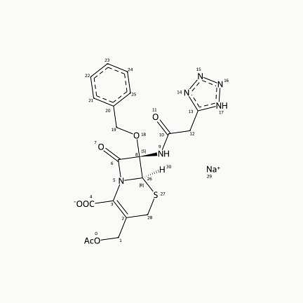 CC(=O)OCC1=C(C(=O)[O-])N2C(=O)[C@](NC(=O)Cc3nnn[nH]3)(OCc3ccccc3)[C@H]2SC1.[Na+]